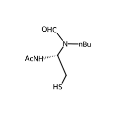 CCCCN(C=O)[C@H](CS)NC(C)=O